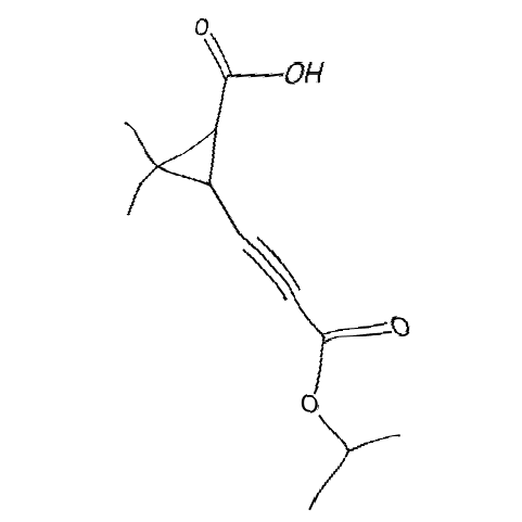 CC(C)OC(=O)C#CC1C(C(=O)O)C1(C)C